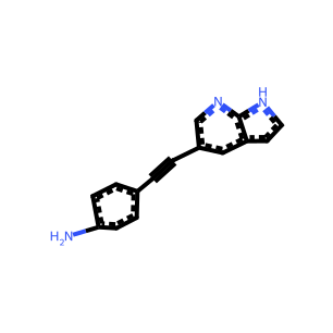 Nc1ccc(C#Cc2cnc3[nH]ccc3c2)cc1